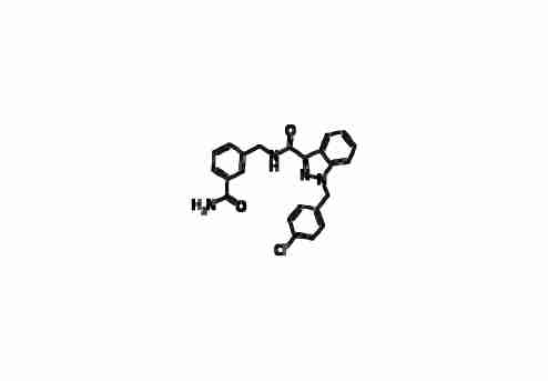 NC(=O)c1cccc(CNC(=O)c2nn(Cc3ccc(Cl)cc3)c3ccccc23)c1